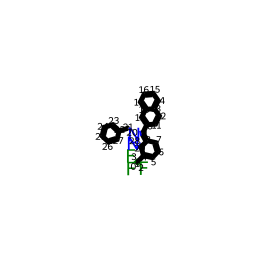 FC(F)(F)c1cccc2c(-c3ccc4ccccc4c3)n(Cc3ccccc3)nc12